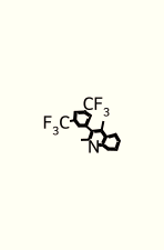 Cc1nc2ccccc2c(C)c1-c1cc(C(F)(F)F)cc(C(F)(F)F)c1